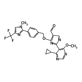 COc1ncnc(C2CC2)c1-c1ncc(C=O)c(OCc2ccc(-c3nc(C(F)(F)F)cn3C)cc2)n1